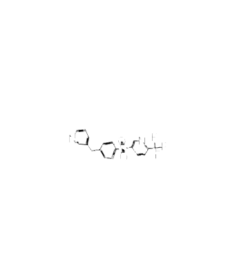 O=S(=O)(c1[c]cc(Cc2cccnc2)cc1)c1ccc(C(F)(F)F)nc1